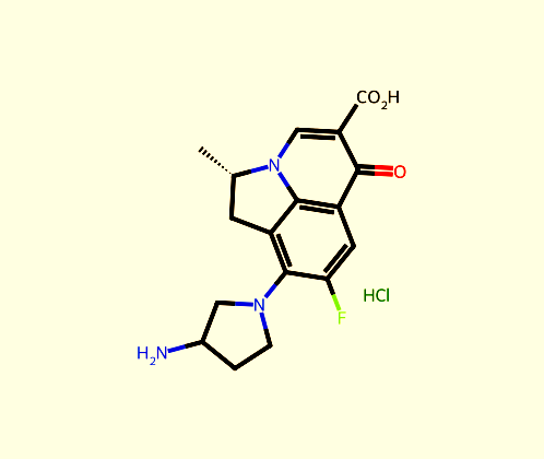 C[C@H]1Cc2c(N3CCC(N)C3)c(F)cc3c(=O)c(C(=O)O)cn1c23.Cl